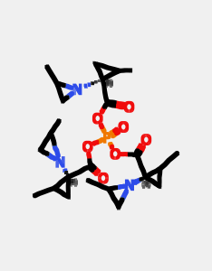 CC1CN1[C@]1(C(=O)OP(=O)(OC(=O)[C@@]2(N3CC3C)CC2C)OC(=O)[C@@]2(N3CC3C)CC2C)CC1C